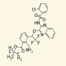 CC(C)(C)OC(=O)c1cccc(C(Oc2nc3ccccc3nc2NS(=O)(=O)c2ccccc2Cl)C(F)(F)F)c1CN